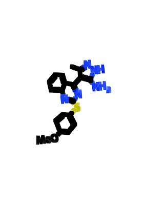 COc1ccc(Sc2nc(-c3c(C)n[nH]c3N)c3ccccc3n2)cc1